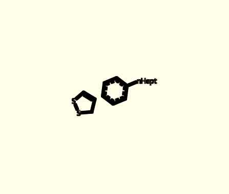 C1=CSSC1.CCCCCCCc1ccccc1